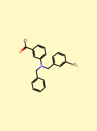 CCC(=O)c1cccc(N(Cc2ccccc2)Cc2cccc([N+](=O)[O-])c2)c1